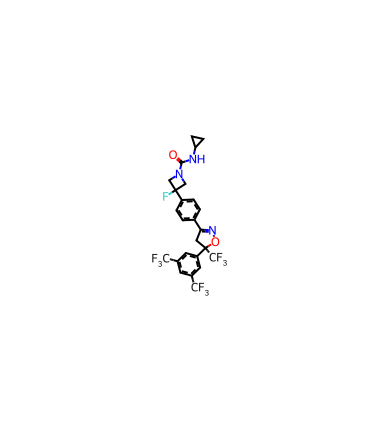 O=C(NC1CC1)N1CC(F)(c2ccc(C3=NOC(c4cc(C(F)(F)F)cc(C(F)(F)F)c4)(C(F)(F)F)C3)cc2)C1